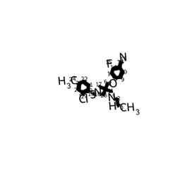 CCCNCC1(COc2ccc(C#N)c(F)c2)CN(Sc2ccc(C)cc2Cl)C1